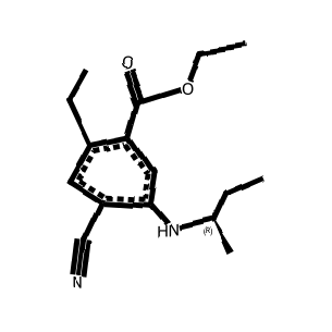 CCOC(=O)c1cc(N[C@H](C)CC)c(C#N)cc1CC